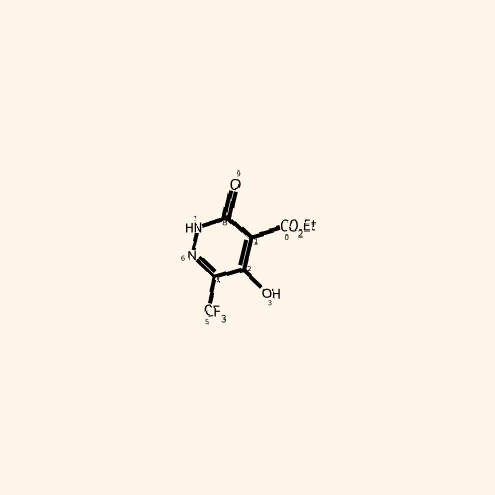 CCOC(=O)c1c(O)c(C(F)(F)F)n[nH]c1=O